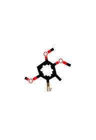 COc1cc(OC)c(OC)c(C)c1Br